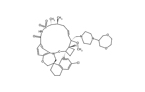 CO[C@]1(CN2CCN(C3COCCOC3)CC2)/C=C/C[C@H](C)[C@@H](C)S(=O)(=O)NC(=O)c2ccc3c(c2)N(C[C@@H]2CC[C@H]21)C[C@@]1(CCCc2cc(Cl)ccc21)CO3